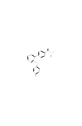 CN(C)C(=O)c1ccc(-c2ccccc2Nc2ccc(C(F)(F)F)cc2)cc1